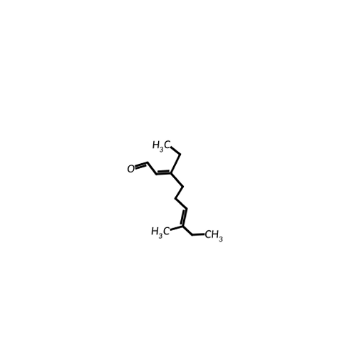 CCC(C)=CCCC(=CC=O)CC